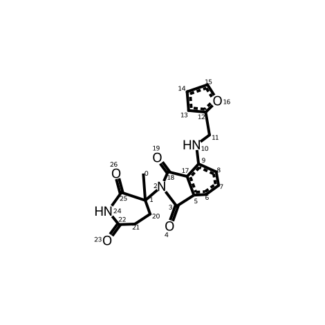 CC1(N2C(=O)c3cccc(NCc4ccco4)c3C2=O)CCC(=O)NC1=O